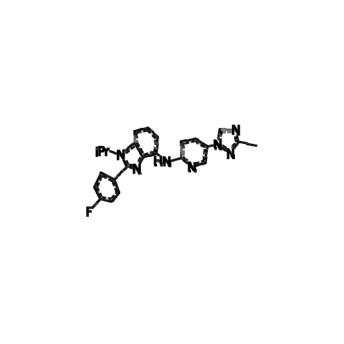 Cc1ncn(-c2ccc(Nc3cccc4c3nc(-c3ccc(F)cc3)n4C(C)C)nc2)n1